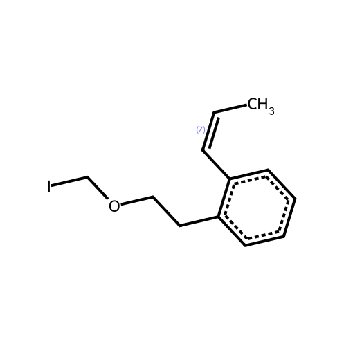 C/C=C\c1ccccc1CCOCI